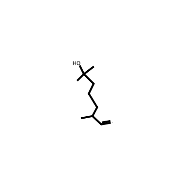 [CH]=CC(C)CCCC(C)(C)O